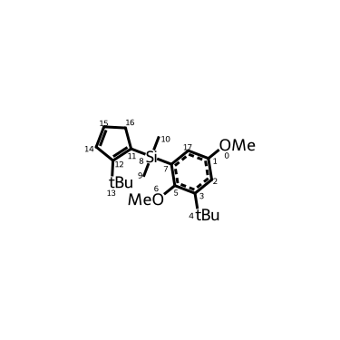 COc1cc(C(C)(C)C)c(OC)c([Si](C)(C)C2=C(C(C)(C)C)C=CC2)c1